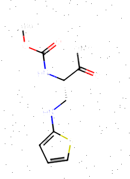 COC(=O)[C@H](CNc1cccs1)NC(=O)OC(C)(C)C